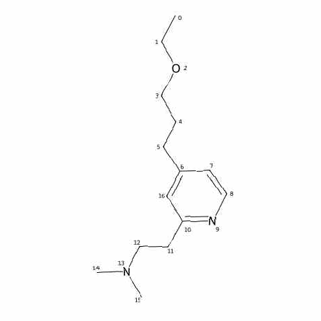 CCOCCCc1ccnc(CCN(C)C)c1